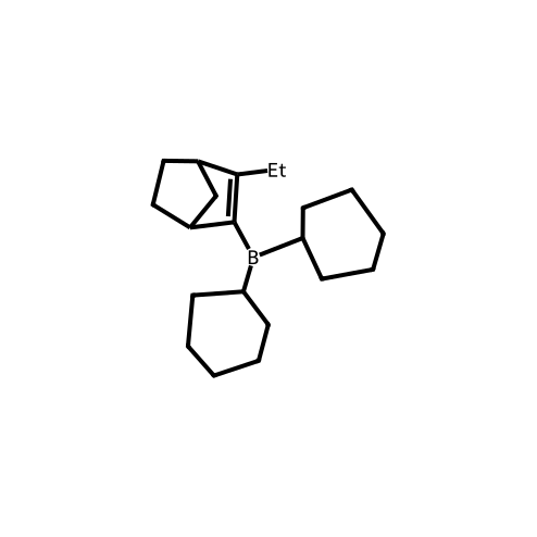 CCC1=C(B(C2CCCCC2)C2CCCCC2)C2CCC1C2